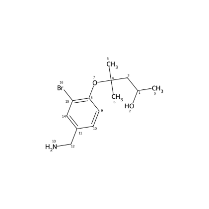 CC(O)CC(C)(C)Oc1ccc(CN)cc1Br